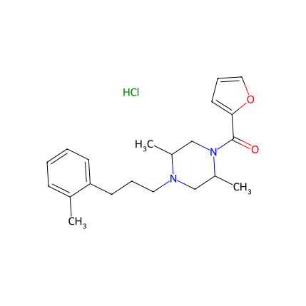 Cc1ccccc1CCCN1CC(C)N(C(=O)c2ccco2)CC1C.Cl